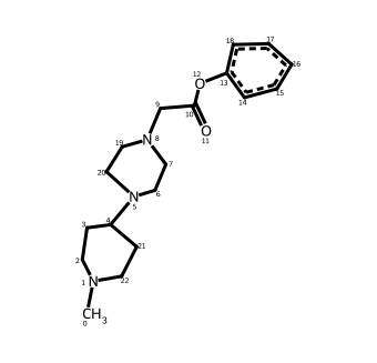 CN1CCC(N2CCN(CC(=O)Oc3ccccc3)CC2)CC1